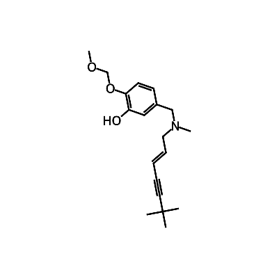 COCOc1ccc(CN(C)CC=CC#CC(C)(C)C)cc1O